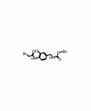 CC(C)(C)OC(=O)NCc1ccc(NC(=O)CBr)c(Cl)c1